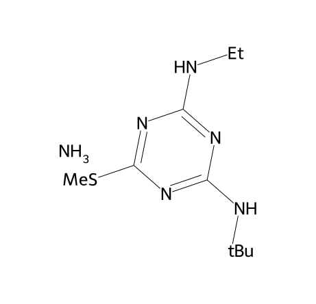 CCNc1nc(NC(C)(C)C)nc(SC)n1.N